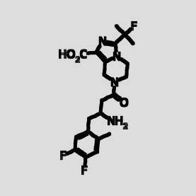 Cc1cc(F)c(F)cc1CC(N)CC(=O)N1CCn2c(C(C)(C)F)nc(C(=O)O)c2C1